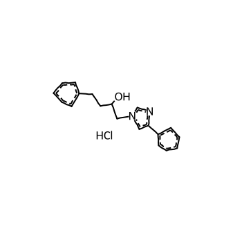 Cl.OC(CCc1ccccc1)Cn1cnc(-c2ccccc2)c1